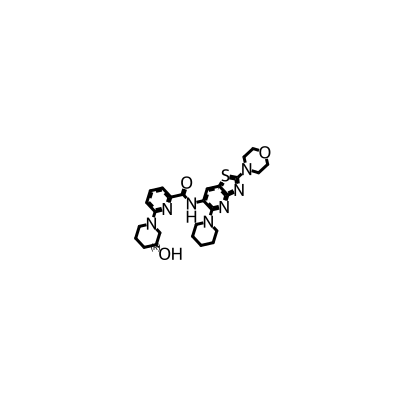 O=C(Nc1cc2sc(N3CCOCC3)nc2nc1N1CCCCC1)c1cccc(N2CCC[C@@H](O)C2)n1